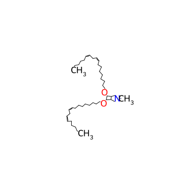 CCCCC/C=C\C/C=C\CCCCCCCCO[C@@H]1C2CN(C)CC2[C@H]1OCCCCCCCC/C=C\C/C=C\CCCCC